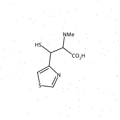 CNC(C(=O)O)C(S)c1cscn1